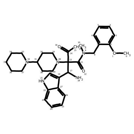 COc1ccccc1CN(C)C(=O)C(C(C)=O)(C(N)c1c[nH]c2ccccc12)N1CCC(N2CCCCC2)CC1